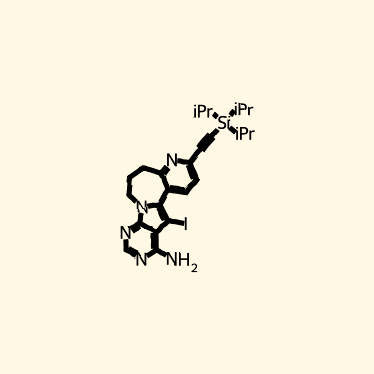 CC(C)[Si](C#Cc1ccc2c(n1)CCCn1c-2c(I)c2c(N)ncnc21)(C(C)C)C(C)C